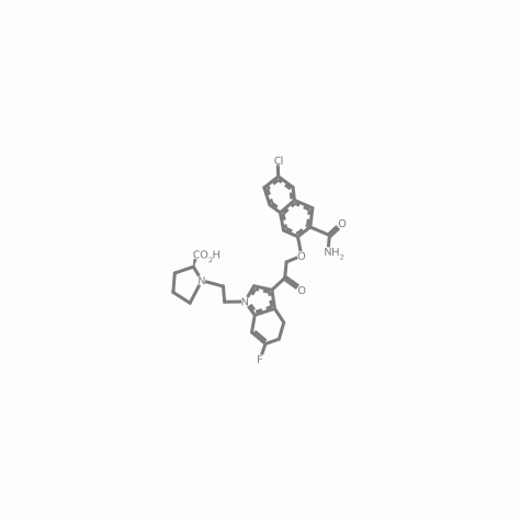 NC(=O)c1cc2cc(Cl)ccc2cc1OCC(=O)c1cn(CCN2CCC[C@H]2C(=O)O)c2c1CCC(F)=C2